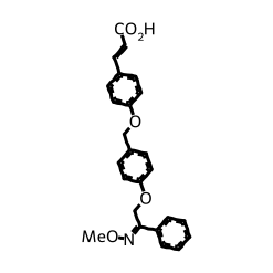 CO/N=C(\COc1ccc(COc2ccc(/C=C/C(=O)O)cc2)cc1)c1ccccc1